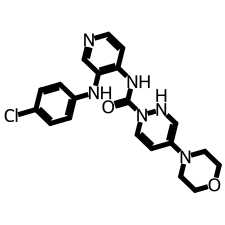 O=C(Nc1ccncc1Nc1ccc(Cl)cc1)N1C=CC(N2CCOCC2)=CN1